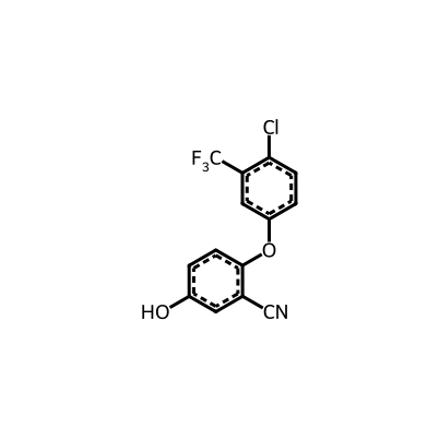 N#Cc1cc(O)ccc1Oc1ccc(Cl)c(C(F)(F)F)c1